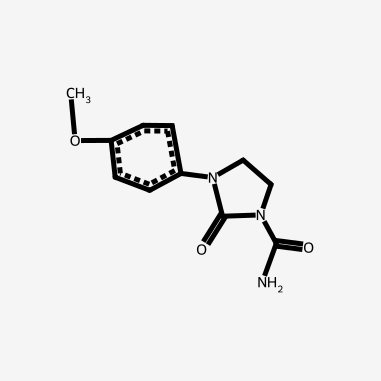 COc1ccc(N2CCN(C(N)=O)C2=O)cc1